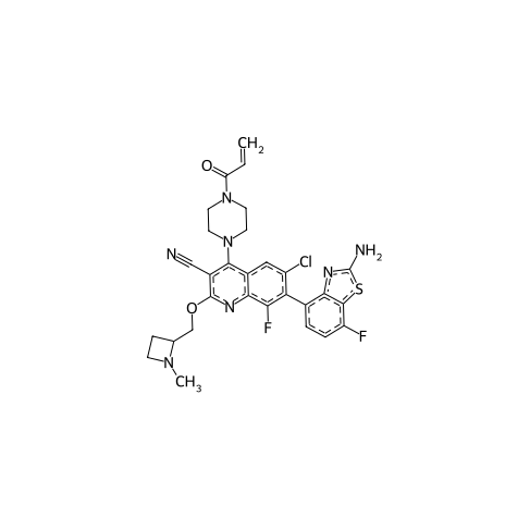 C=CC(=O)N1CCN(c2c(C#N)c(OCC3CCN3C)nc3c(F)c(-c4ccc(F)c5sc(N)nc45)c(Cl)cc23)CC1